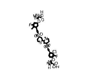 Cc1c(F)cc(Oc2nn[nH]c2C(=O)O)cc1C#CS(=O)(=O)C1CCN(C)C(C2CC(S(=O)(=O)C#Cc3ccc(Oc4nn[nH]c4C(=O)O)c(F)c3Cl)CCN2C)C1